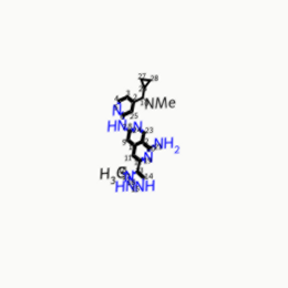 CN[C@H](c1ccnc(Nc2cc3cc(C4=CNNN4C)nc(N)c3cn2)c1)C1CC1